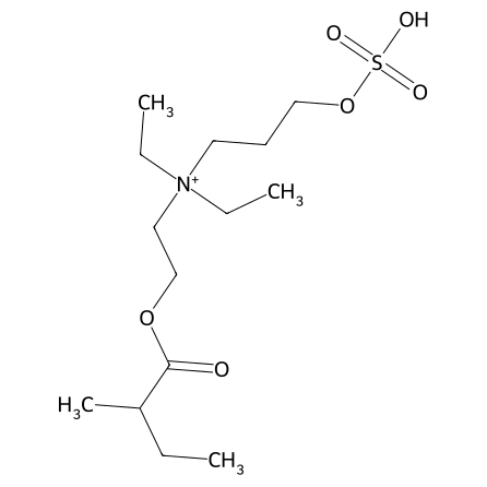 CCC(C)C(=O)OCC[N+](CC)(CC)CCCOS(=O)(=O)O